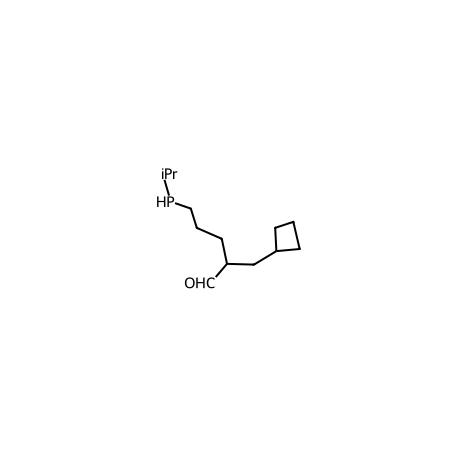 CC(C)PCCCC(C=O)CC1CCC1